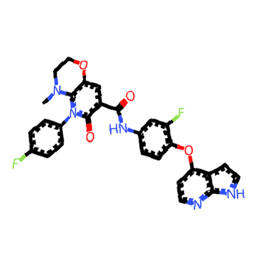 CN1CCOc2cc(C(=O)Nc3ccc(Oc4ccnc5[nH]ccc45)c(F)c3)c(=O)n(-c3ccc(F)cc3)c21